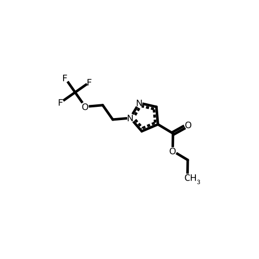 CCOC(=O)c1cnn(CCOC(F)(F)F)c1